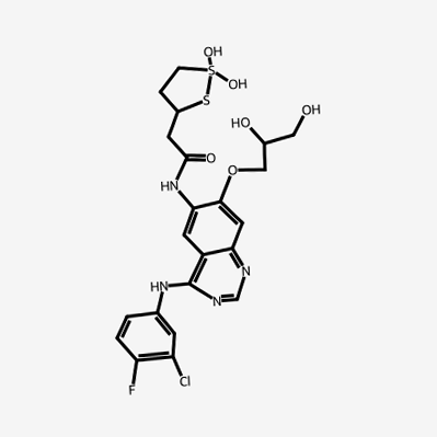 O=C(CC1CCS(O)(O)S1)Nc1cc2c(Nc3ccc(F)c(Cl)c3)ncnc2cc1OCC(O)CO